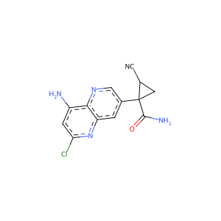 N#CC1CC1(C(N)=O)c1cnc2c(N)cc(Cl)nc2c1